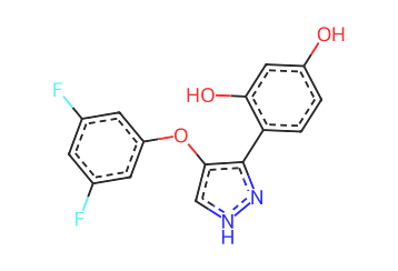 Oc1ccc(-c2n[nH]cc2Oc2cc(F)cc(F)c2)c(O)c1